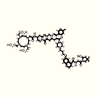 Cc1ccc(/C=N/NCN/N=C/CC(/C=N\NC(=O)CCCCCC(=O)N2CCN(CCCOc3ccc4nccc(C(=O)NCC(=O)N5CC(F)(F)C[C@@H]5C#N)c4c3)CC2)NC(=O)CN2CCN(CC(=O)O)CCN(CC(=O)O)CCN(CC(=O)O)CC2)cc1